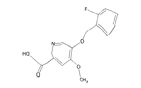 COc1cc(C(=O)O)ncc1OCc1ccccc1F